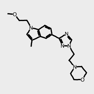 COCCn1cc(C)c2cc(-c3ncn(CCN4CCOCC4)n3)ccc21